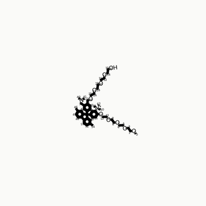 COCCOCCOCCOCCOc1ccc(C2(c3ccc(COCCOCCOCCOCCO)c(CN(C)C)c3)c3cc(C)ccc3-c3ccc(C)cc32)cc1[N+](C)(C)C